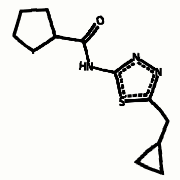 O=C(Nc1nnc(CC2CC2)s1)C1[CH]CCC1